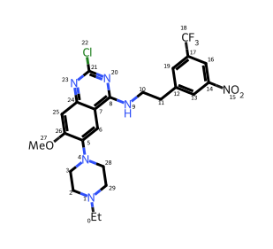 CCN1CCN(c2cc3c(NCCc4cc([N+](=O)[O-])cc(C(F)(F)F)c4)nc(Cl)nc3cc2OC)CC1